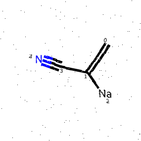 C=[C]([Na])C#N